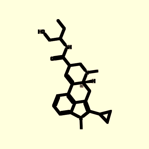 CCC(CO)NC(=O)C1C=C2c3cccc4c3c(c(C3CC3)n4C)C[C@H]2N(C)C1